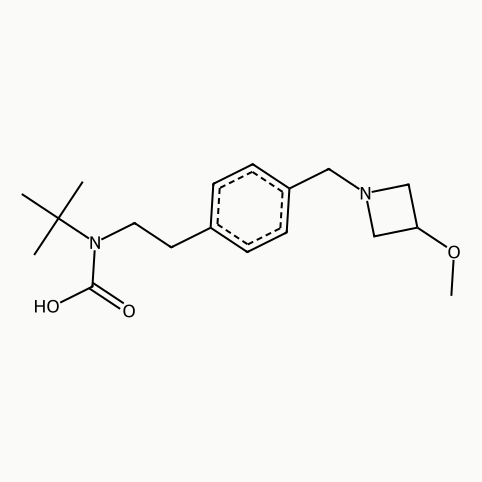 COC1CN(Cc2ccc(CCN(C(=O)O)C(C)(C)C)cc2)C1